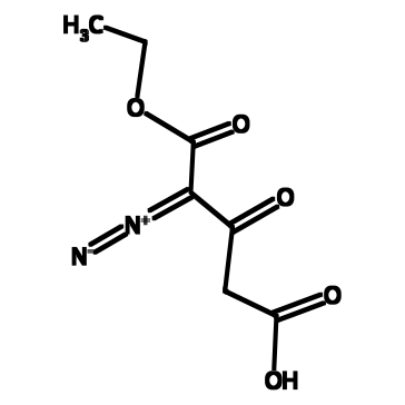 CCOC(=O)C(=[N+]=[N-])C(=O)CC(=O)O